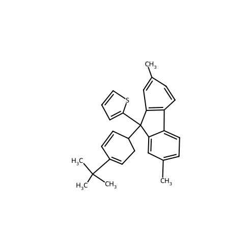 Cc1ccc2c(c1)C(c1cccs1)(C1C=CC(C(C)(C)C)=CC1)c1cc(C)ccc1-2